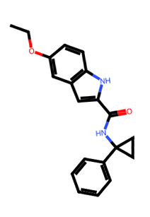 CCOc1ccc2[nH]c(C(=O)NC3(c4ccccc4)CC3)cc2c1